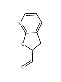 O=CC1Cc2cccnc2O1